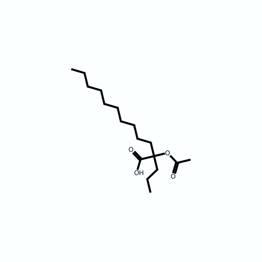 CCCCCCCCCCC(CCC)(OC(C)=O)C(=O)O